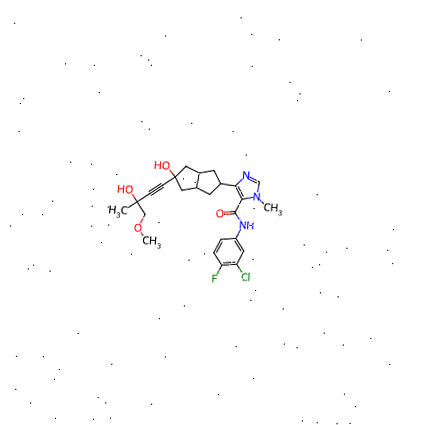 COCC(C)(O)C#CC1(O)CC2CC(c3ncn(C)c3C(=O)Nc3ccc(F)c(Cl)c3)CC2C1